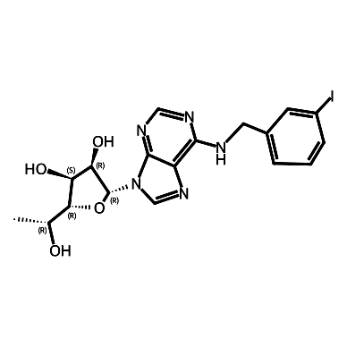 [CH2][C@@H](O)[C@H]1O[C@@H](n2cnc3c(NCc4cccc(I)c4)ncnc32)[C@H](O)[C@@H]1O